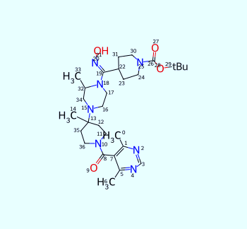 Cc1ncnc(C)c1C(=O)N1CCC(C)(N2CCN(/C(=N/O)C3CCN(C(=O)OC(C)(C)C)CC3)C(C)C2)CC1